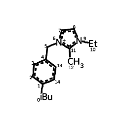 CCC(C)c1ccc(C[n+]2ccn(CC)c2C)cc1